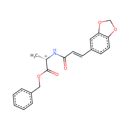 C[C@H](NC(=O)C=Cc1ccc2c(c1)OCO2)C(=O)OCc1ccccc1